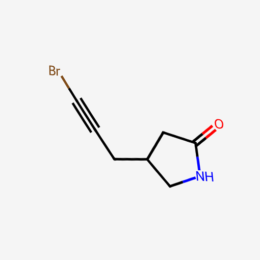 O=C1CC(CC#CBr)CN1